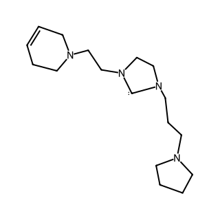 [C]1N(CCCN2CCCC2)CCN1CCN1CC=CCC1